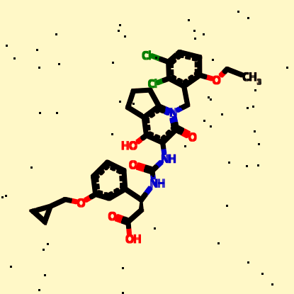 CCOc1ccc(Cl)c(Cl)c1Cn1c2c(c(O)c(NC(=O)N[C@@H](CC(=O)O)c3cccc(OCC4CC4)c3)c1=O)CCC2